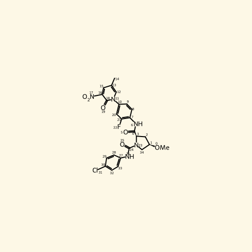 CO[C@@H]1C[C@H](C(=O)Nc2ccc(-n3cc(C)cc([N+](=O)[O-])c3=O)cc2F)N(C(=O)Nc2ccc(Cl)cc2)C1